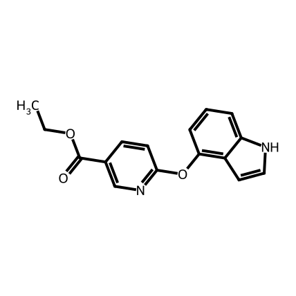 CCOC(=O)c1ccc(Oc2cccc3[nH]ccc23)nc1